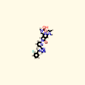 CC(C)N(C)c1cc2c(c(CN(C)C(=O)O)n1)CN(c1cccc(-c3nncn3[C@@H](C)c3ccccc3F)n1)C2=O